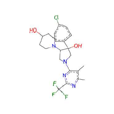 Cc1nc(C(F)(F)F)nc(N2CC(N3CCC(O)CC3)C(O)(c3ccc(Cl)cc3)C2)c1C